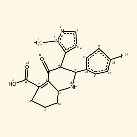 Cn1ncnc1C1C(=O)C2=C(C(=O)O)CCCC2NC1c1ccc(F)cc1